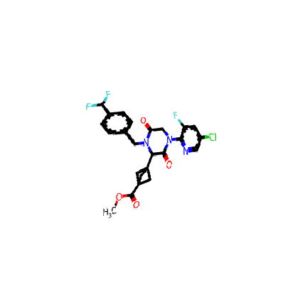 COC(=O)C12CC(C3C(=O)N(c4ncc(Cl)cc4F)CC(=O)N3Cc3ccc(C(F)F)cc3)(C1)C2